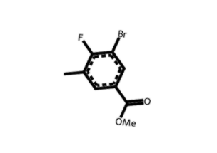 COC(=O)c1cc(C)c(F)c(Br)c1